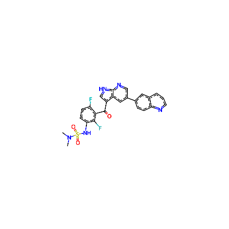 CN(C)S(=O)(=O)Nc1ccc(F)c(C(=O)c2c[nH]c3ncc(-c4ccc5ncccc5c4)cc23)c1F